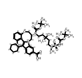 Cc1cccc2c1-c1c(C3CCCCC3)c3ccc(C(=O)O)cc3n1C[C@@H](N(CCC(C)(C)CCN(C)S(=O)(=O)NC(=O)OC(C)(C)C)C(=O)OC(C)(C)C)CO2